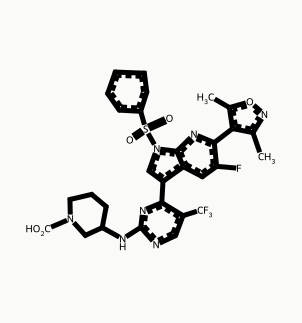 Cc1noc(C)c1-c1nc2c(cc1F)c(-c1nc(NC3CCCN(C(=O)O)C3)ncc1C(F)(F)F)cn2S(=O)(=O)c1ccccc1